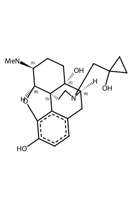 CN[C@H]1CC[C@@]2(O)[C@H]3Cc4ccc(O)c5c4[C@@]2(CCN3CC2(O)CC2)[C@H]1O5